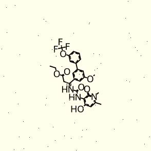 CCOC(=O)C[C@H](NC(=O)Nc1c(O)cc(C)n(C)c1=O)c1cc(OC)cc(-c2cccc(OC(F)(F)F)c2)c1